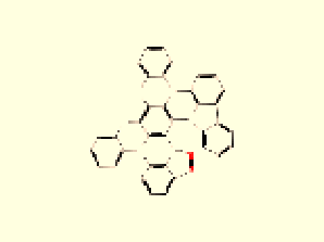 c1ccc2c(c1)Sc1c3c4c(c5c1B2c1cccc2c6ccccc6n-5c12)-n1c2ccccc2c2cccc(c21)B4c1ccccc1S3